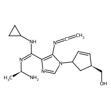 C=C=Nc1c(/C(=N\[C@H](C)N)NC2CC2)ncn1C1C=C[C@@H](CO)C1